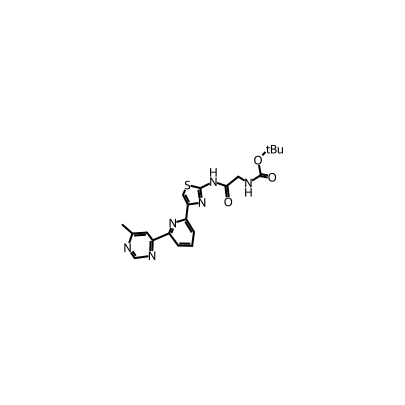 Cc1cc(-c2cccc(-c3csc(NC(=O)CNC(=O)OC(C)(C)C)n3)n2)ncn1